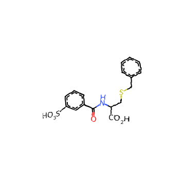 O=C(NC(CSCc1ccccc1)C(=O)O)c1cccc(S(=O)(=O)O)c1